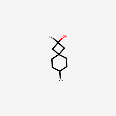 CC(=O)C1CCC2(CC1)CC(O)(C(C)C)C2